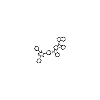 c1ccc(-c2nc(-c3ccccc3)nc(-c3ccc(-n4c5ccccc5c5c6c7ccccc7n(-c7cccc8ccccc78)c6ccc54)cc3)n2)cc1